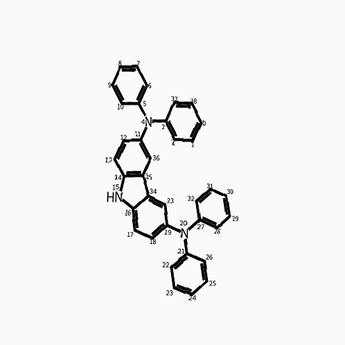 c1ccc(N(c2ccccc2)c2ccc3[nH]c4ccc(N(c5ccccc5)c5ccccc5)cc4c3c2)cc1